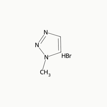 Br.Cn1ccnn1